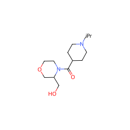 CC(C)N1CCC(C(=O)N2CCOCC2CO)CC1